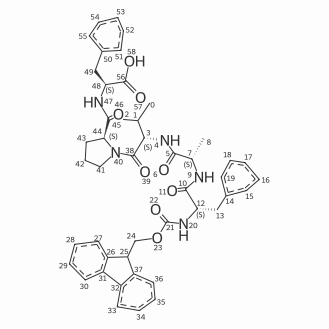 CC(C)[C@H](NC(=O)[C@H](C)NC(=O)[C@H](Cc1ccccc1)NC(=O)OCC1c2ccccc2-c2ccccc21)C(=O)N1CCC[C@H]1C(=O)N[C@@H](Cc1ccccc1)C(=O)O